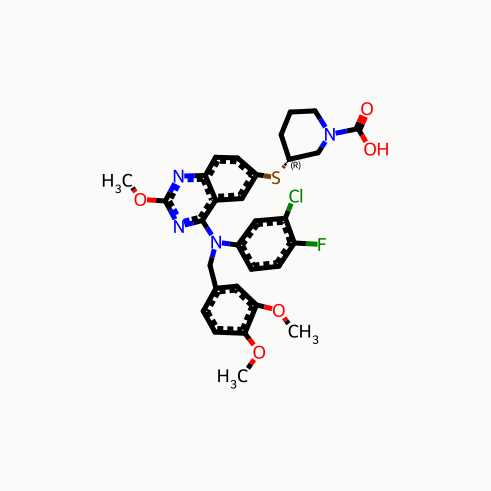 COc1nc(N(Cc2ccc(OC)c(OC)c2)c2ccc(F)c(Cl)c2)c2cc(S[C@@H]3CCCN(C(=O)O)C3)ccc2n1